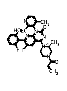 C=CC(=O)N1CCN(c2nc(=O)n(-c3c(C)ccnc3CC)c3nc(-c4c(O)cccc4F)c(F)cc23)[C@@H](C)C1